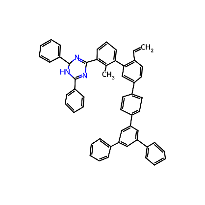 C=Cc1ccc(-c2ccc(-c3cc(-c4ccccc4)cc(-c4ccccc4)c3)cc2)cc1-c1cccc(C2=NC(c3ccccc3)NC(c3ccccc3)=N2)c1C